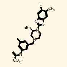 C=C(Oc1cc(C)cc(CN2CCN(c3nc4cc(F)c(C(F)(F)F)cc4s3)[C@H](CCCC)C2)c1)C(=O)O